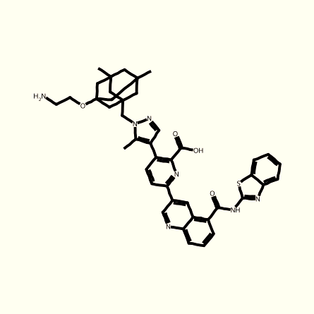 Cc1c(-c2ccc(-c3cnc4cccc(C(=O)Nc5nc6ccccc6s5)c4c3)nc2C(=O)O)cnn1CC12CC3(C)CC(C)(C1)CC(OCCN)(C3)C2